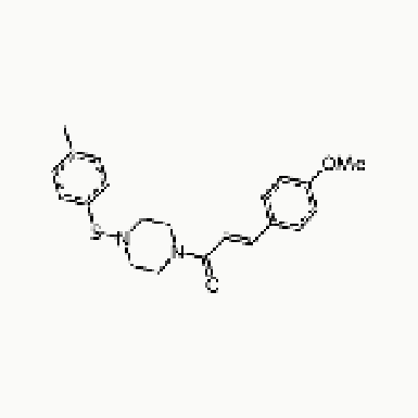 COc1ccc(/C=C/C(=O)N2CCN(Sc3ccc(C)cc3)CC2)cc1